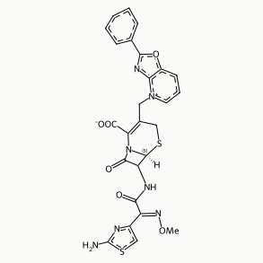 CON=C(C(=O)NC1C(=O)N2C(C(=O)[O-])=C(C[n+]3cccc4oc(-c5ccccc5)nc43)CS[C@@H]12)c1csc(N)n1